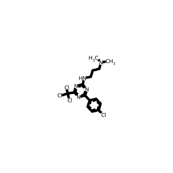 CN(C)CCCNc1nc(-c2ccc(Cl)cc2)nc(C(Cl)(Cl)Cl)n1